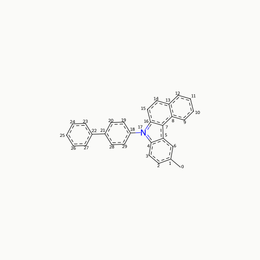 Cc1ccc2c(c1)c1c3ccccc3ccc1n2-c1ccc(-c2ccccc2)cc1